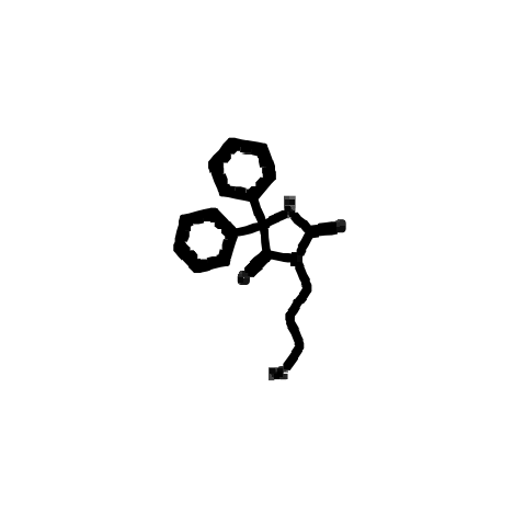 N#CCCCN1C(=O)NC(c2ccccc2)(c2ccccc2)C1=O